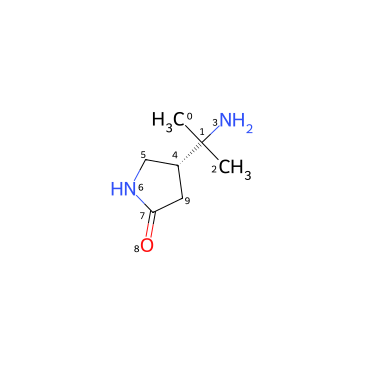 CC(C)(N)[C@H]1CNC(=O)C1